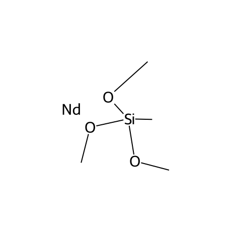 CO[Si](C)(OC)OC.[Nd]